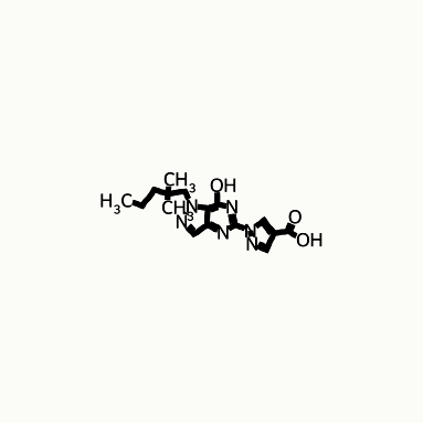 CCCC(C)(C)Cn1ncc2nc(-n3cc(C(=O)O)cn3)nc(O)c21